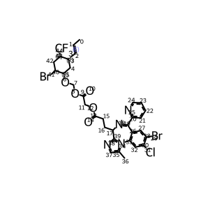 C/C=C/[C@H]1C[C@@H](OCOC(=O)COC(=O)CCC2N=C(c3ccccn3)c3cc(Br)c(Cl)cc3-n3c(C)cnc32)C(Br)C[C@H]1C(F)(F)F